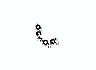 FC(F)(F)c1cc(NC2CCC(OCC(=S)N3CCN(c4ccc(Cl)cc4)CC3)CC2)ccc1Cl